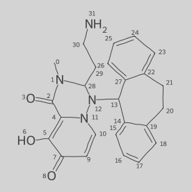 CN1C(=O)c2c(O)c(=O)ccn2N(C2c3ccccc3CCc3ccccc32)C1CCN